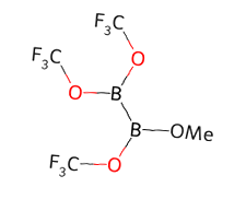 COB(OC(F)(F)F)B(OC(F)(F)F)OC(F)(F)F